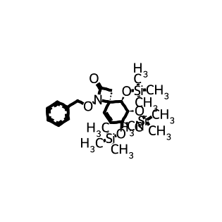 C[Si](C)(C)O[C@@H]1[C@H](O[Si](C)(C)C)[C@@](C#N)(O[Si](C)(C)C)C=C[C@]12CC(=O)N2OCc1ccccc1